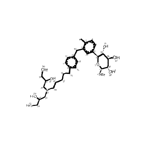 CS[C@H]1O[C@@H](c2ccc(C)c(Cc3ccc(CCCCCN(CC(O)CO)CC(O)CO)cc3)c2)[C@H](O)[C@@H](O)[C@@H]1O